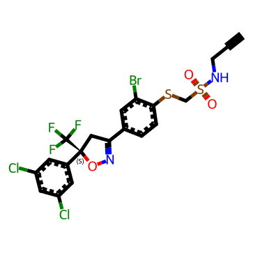 C#CCNS(=O)(=O)CSc1ccc(C2=NO[C@@](c3cc(Cl)cc(Cl)c3)(C(F)(F)F)C2)cc1Br